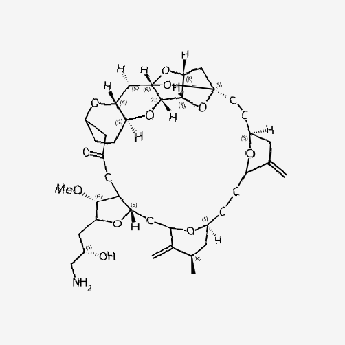 C=C1C[C@@H]2CC[C@@]34C[C@H]5O[C@H]6[C@@H](O3)[C@H]3OC(CC[C@@H]3O[C@H]6[C@H]5O4)CC(=O)CC3[C@@H](OC)C(C[C@H](O)CN)O[C@H]3CC3O[C@@H](CCC1O2)C[C@@H](C)C3=C